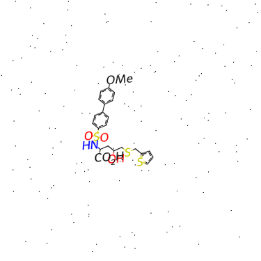 COc1ccc(-c2ccc(S(=O)(=O)NC(CC(O)CSCc3cccs3)C(=O)O)cc2)cc1